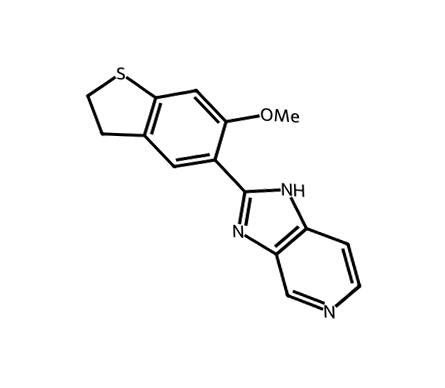 COc1cc2c(cc1-c1nc3cnccc3[nH]1)CCS2